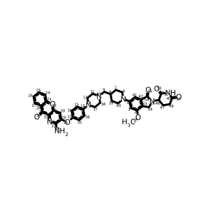 COc1cc(N2CCC(CN3CCN(c4ccc(Oc5cc6oc7ccccc7c(=O)c6nc5N)cc4)CC3)CC2)cc2c1CN(C1CCC(=O)NC1=O)C2=O